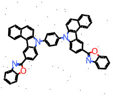 c1ccc2c(c1)ccc1c2c2cc(-c3nc4ccccc4o3)ccc2n1-c1ccc(-n2c3ccc(-c4nc5ccccc5o4)cc3c3c4ccccc4ccc32)cc1